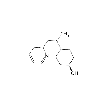 CN(Cc1ccccn1)[C@H]1CC[C@H](O)CC1